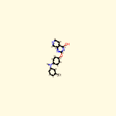 CCc1cccc(N(C)c2ccc(Oc3nc(O)c4ccncc4n3)cc2)c1